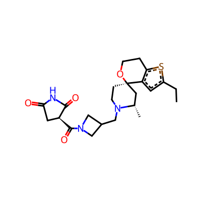 CCc1cc2c(s1)CCO[C@@]21CCN(CC2CN(C(=O)[C@H]3CC(=O)NC3=O)C2)[C@@H](C)C1